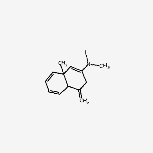 C=C1CC(N(C)I)=CC2(C)C=CC=CC12